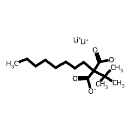 CCCCCCCCC(C(=O)[O-])(C(=O)[O-])C(C)(C)C.[Li+].[Li+]